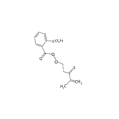 C=C(C)C(=O)CCOOC(=O)c1ccccc1C(=O)O